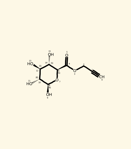 C#CCOC(=O)[C@H]1O[C@@H](O)[C@H](O)[C@@H](O)[C@@H]1O